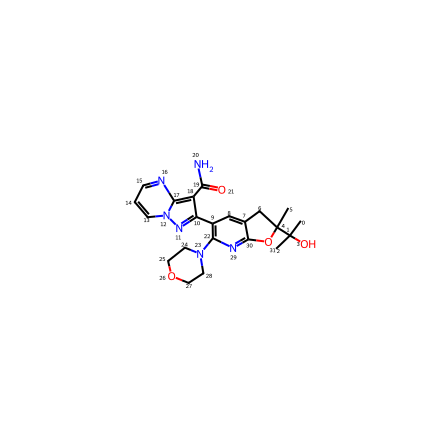 CC(C)(O)C1(C)Cc2cc(-c3nn4cccnc4c3C(N)=O)c(N3CCOCC3)nc2O1